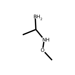 BC(C)NOC